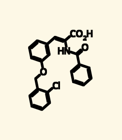 O=C(O)C(=Cc1cccc(OCc2ccccc2Cl)c1)NC(=O)c1ccccc1